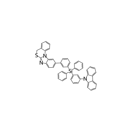 c1ccc([Si](c2ccccc2)(c2cccc(-c3ccc4nc5n(c4c3)-c3ccccc3CS5)c2)c2cccc(-n3c4ccccc4c4ccccc43)c2)cc1